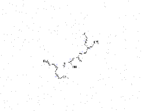 C=C/C=C(\C=C/C)/C=C/C(O)=C/C(=O)/C=C/C(/C=C/CC)=C/C